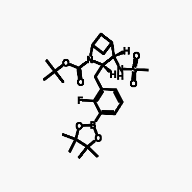 CC(C)(C)OC(=O)N1C2CC(C2)[C@H](NS(C)(=O)=O)[C@@H]1Cc1cccc(B2OC(C)(C)C(C)(C)O2)c1F